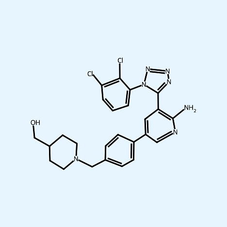 Nc1ncc(-c2ccc(CN3CCC(CO)CC3)cc2)cc1-c1nnnn1-c1cccc(Cl)c1Cl